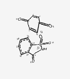 O=C1C=CC(=O)C=C1.O=C1NS(=O)(=O)c2ccccc21